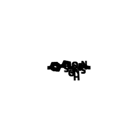 Cc1ccc(-c2ccc(S(=O)(=O)Nc3cnc(C)s3)s2)cc1